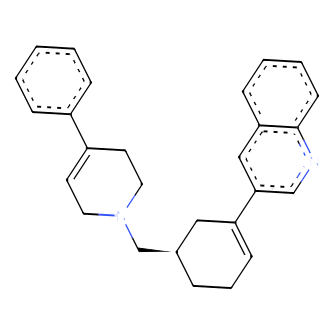 C1=C(c2ccccc2)CCN(C[C@@H]2CCC=C(c3cnc4ccccc4c3)C2)C1